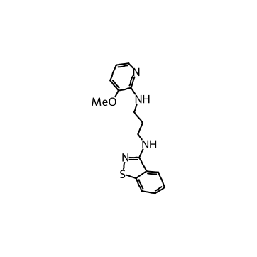 COc1cccnc1NCCCNc1nsc2ccccc12